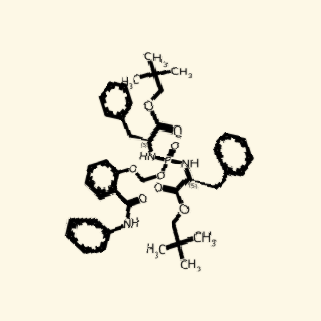 CC(C)(C)COC(=O)[C@H](Cc1ccccc1)NP(=O)(N[C@@H](Cc1ccccc1)C(=O)OCC(C)(C)C)OCOc1ccccc1C(=O)Nc1ccccc1